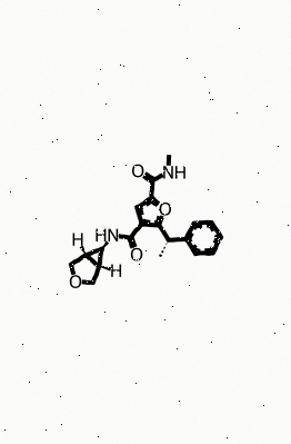 CNC(=O)c1cc(C(=O)N[C@H]2[C@@H]3COC[C@@H]32)c([C@@H](C)c2ccccc2)o1